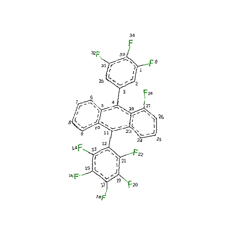 Fc1cc(-c2c3ccccc3c(-c3c(F)c(F)c(F)c(F)c3F)c3cccc(F)c23)cc(F)c1F